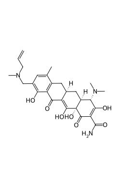 C=CCN(C)Cc1cc(C)c2c(c1O)C(=O)C1=C(O)[C@]3(O)C(=O)C(C(N)=O)=C(O)[C@@H](N(C)C)[C@@H]3C[C@@H]1C2